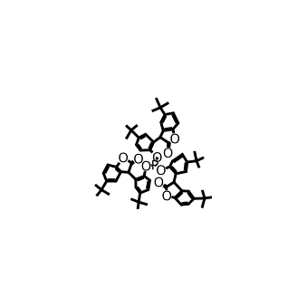 CC(C)(C)c1ccc2c(c1)C(c1cc(C(C)(C)C)ccc1OP(Oc1ccc(C(C)(C)C)cc1C1C(=O)Oc3ccc(C(C)(C)C)cc31)Oc1ccc(C(C)(C)C)cc1C1C(=O)Oc3ccc(C(C)(C)C)cc31)C(=O)O2